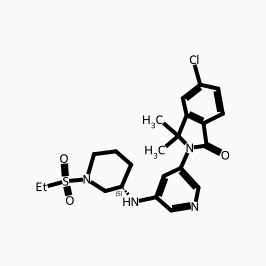 CCS(=O)(=O)N1CCC[C@H](Nc2cncc(N3C(=O)c4ccc(Cl)cc4C3(C)C)c2)C1